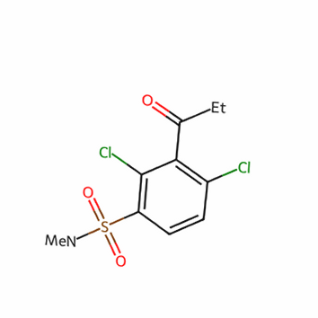 CCC(=O)c1c(Cl)ccc(S(=O)(=O)NC)c1Cl